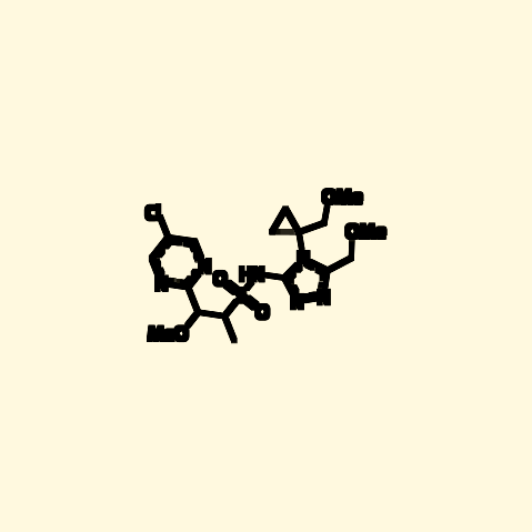 COCc1nnc(NS(=O)(=O)C(C)C(OC)c2ncc(Cl)cn2)n1C1(COC)CC1